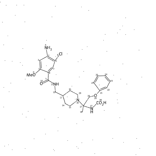 COc1cc(N)c(Cl)cc1C(=O)NCC1CCN(C(C)(COc2ccccc2)NC(=O)O)CC1